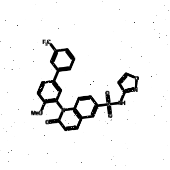 COc1ccc(-c2cccc(C(F)(F)F)c2)cc1-n1c(=O)ccc2cc(S(=O)(=O)Nc3ccon3)ccc21